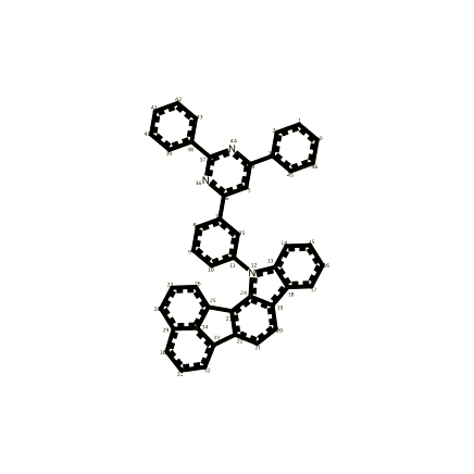 c1ccc(-c2cc(-c3cccc(-n4c5ccccc5c5ccc6c(c54)-c4cccc5cccc-6c45)c3)nc(-c3ccccc3)n2)cc1